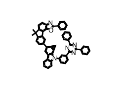 CC1(C)c2ccc(-c3cc4c5ccccc5n(-c5cccc(-c6nc(-c7ccccc7)nc(-c7ccccc7)n6)c5)c4c4c3=C=4)cc2-c2c1ccc1nc(-c3ccccc3)oc21